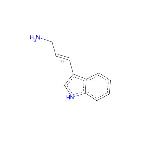 NC/C=C/c1c[nH]c2ccccc12